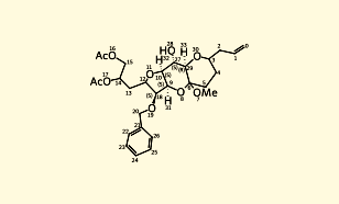 C=CCC1CCC2(OC)O[C@@H]3[C@@H](OC(CC(COC(C)=O)OC(C)=O)[C@@H]3OCc3ccccc3)[C@H](O)[C@H]2O1